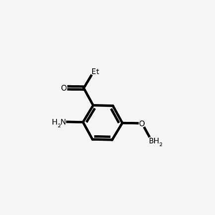 BOc1ccc(N)c(C(=O)CC)c1